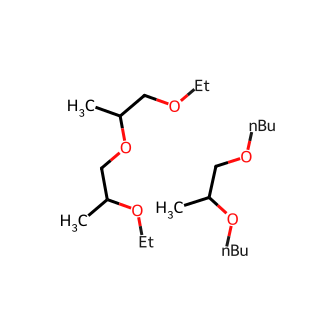 CCCCOCC(C)OCCCC.CCOCC(C)OCC(C)OCC